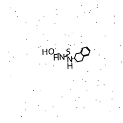 OCCNC(=S)NC1CCc2ccccc2C1